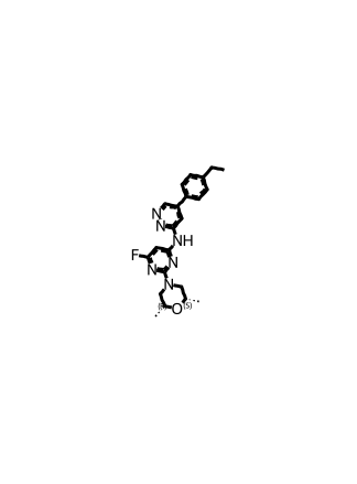 CCc1ccc(-c2cnnc(Nc3cc(F)nc(N4C[C@@H](C)O[C@@H](C)C4)n3)c2)cc1